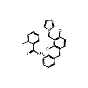 Cc1ccccc1C(N)=O.Clc1ccc(Cc2ccccc2)c(Cl)c1Cn1ccnc1